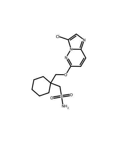 NS(=O)(=O)CC1(COc2ccc3ncc(Cl)n3n2)CCCCC1